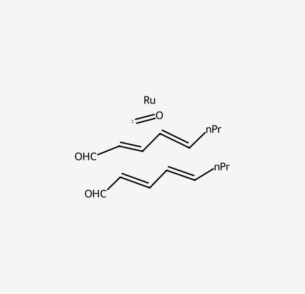 CCCC=CC=CC=O.CCCC=CC=CC=O.[C]=O.[Ru]